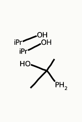 CC(C)(O)P.CC(C)O.CC(C)O